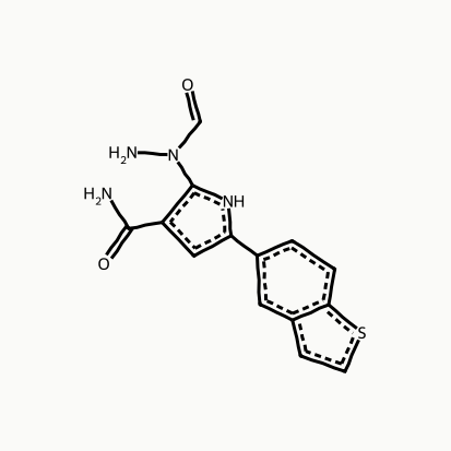 NC(=O)c1cc(-c2ccc3sccc3c2)[nH]c1N(N)C=O